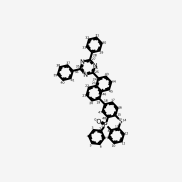 O=P1(c2ccccc2)c2ccccc2Sc2ccc(-c3cccc4c(-c5nc(-c6ccccc6)nc(-c6ccccc6)n5)cccc34)cc21